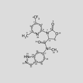 Cc1cc(C(F)(F)F)cc(N2C(=O)OCC2C(=O)N(C)c2ccc3cn[nH]c3c2)n1